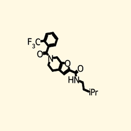 CC(C)CCNC(=O)c1cc2c(o1)CN(C(=O)c1ccccc1C(F)(F)F)CC2